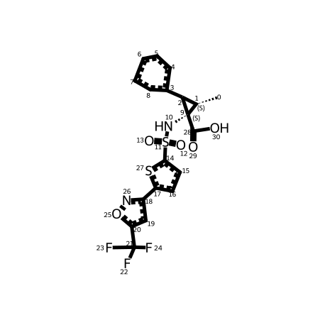 C[C@H]1C(c2ccccc2)[C@]1(NS(=O)(=O)c1ccc(-c2cc(C(F)(F)F)on2)s1)C(=O)O